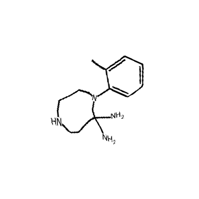 Cc1ccccc1N1CCNCC1(N)N